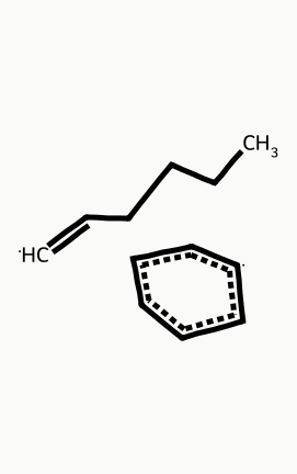 [CH]=CCCCC.[c]1ccccc1